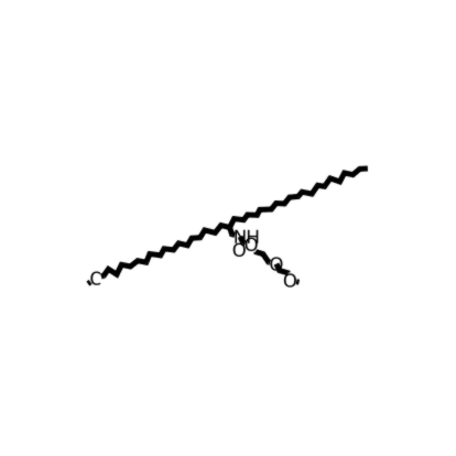 CCCCCCCCCCCCCCCCCCCCC(CCCCCCCCCCCCCCCCCCCC)CNC(=O)OCCCOCCOC